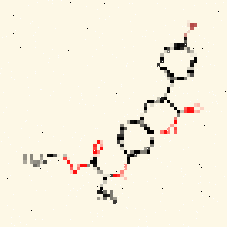 CCOC(=O)C(C)Oc1ccc2cc(-c3ccc(Br)cc3)c(=O)oc2c1